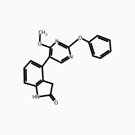 COc1nc(Oc2ccccc2)ncc1-c1cccc2c1CC(=O)N2